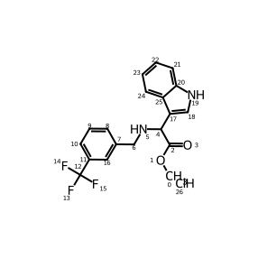 COC(=O)C(NCc1cccc(C(F)(F)F)c1)c1c[nH]c2ccccc12.Cl